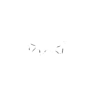 COc1cccc(CSc2nnc(-c3ccncc3)o2)c1